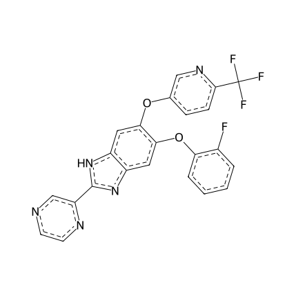 Fc1ccccc1Oc1cc2nc(-c3cnccn3)[nH]c2cc1Oc1ccc(C(F)(F)F)nc1